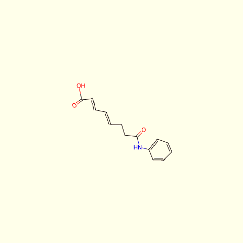 O=C(O)C=CC=CCCC(=O)Nc1ccccc1